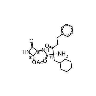 CC(=O)O[C@@H]1NC(=O)[C@H]1NC(=O)[C@](N)(CC1CCCCC1)C(=O)CCc1ccccc1